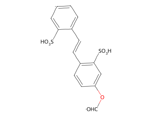 O=[C]Oc1ccc(C=Cc2cc[c]cc2S(=O)(=O)O)c(S(=O)(=O)O)c1